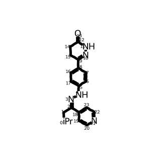 CC(C)CC(=NNc1ccc(C2=NNC(=O)CC2)cc1)c1ccncc1